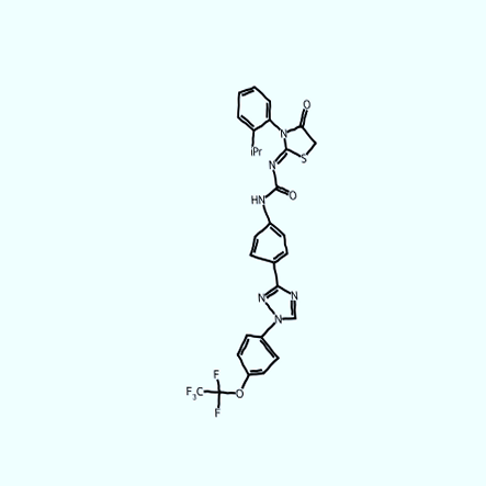 CC(C)c1ccccc1N1C(=O)CS/C1=N\C(=O)Nc1ccc(-c2ncn(-c3ccc(OC(F)(F)C(F)(F)F)cc3)n2)cc1